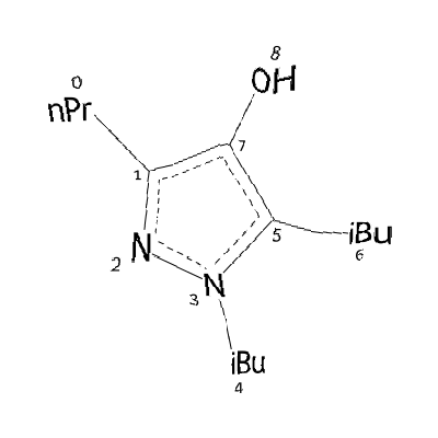 CCCc1nn(C(C)CC)c(C(C)CC)c1O